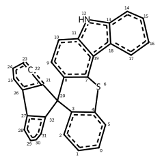 c1ccc2c(c1)Sc1c(ccc3[nH]c4ccccc4c13)C21c2ccccc2-c2ccccc21